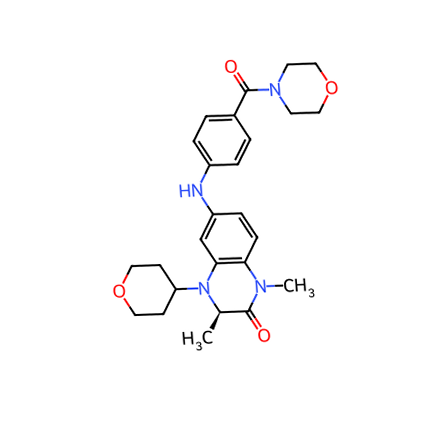 C[C@@H]1C(=O)N(C)c2ccc(Nc3ccc(C(=O)N4CCOCC4)cc3)cc2N1C1CCOCC1